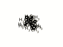 Cc1cccc(C)c1N1c2ccc(C(C)(C)C)cc2B2c3sc4cc5c(cc4c3N(c3ccccc3)c3cc(C(C)C)cc1c32)C(C)(C)CCC5(C)C